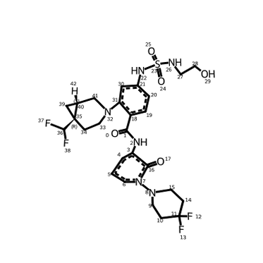 O=C(Nc1cccn(N2CCC(F)(F)CC2)c1=O)c1ccc(NS(=O)(=O)NCCO)cc1N1CC[C@]2(C(F)F)C[C@@H]2C1